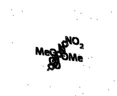 COc1cc(/N=N/S(=O)(=O)c2ccc(C)cc2)c(OC)cc1/N=N/c1ccc([N+](=O)[O-])cc1